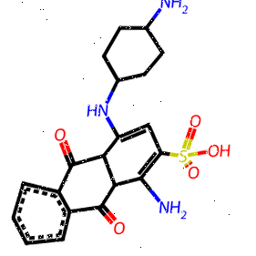 NC1=C(S(=O)(=O)O)C=C(NC2CCC(N)CC2)C2C(=O)c3ccccc3C(=O)C12